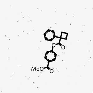 COC(=O)c1ccc(OC(=O)C2(c3ccccc3)CCC2)cc1